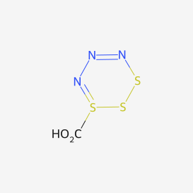 O=C(O)S1=NN=NSS1